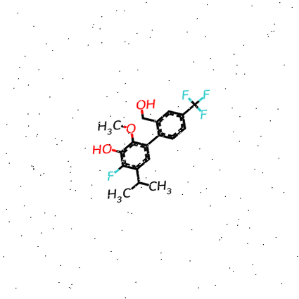 COc1c(-c2ccc(C(F)(F)F)cc2CO)cc(C(C)C)c(F)c1O